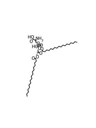 CCCCCCCCCCCCCCCCCC(=O)OC[C@H](COP(=O)(O)OC[C@H](N)C(=O)O)OC(=O)CCCCCCCCCCCCCCCCC